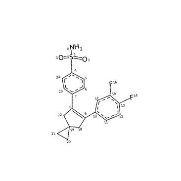 NS(=O)(=O)c1ccc(C2=C(c3ccc(F)c(F)c3)CC3(CC3)C2)cc1